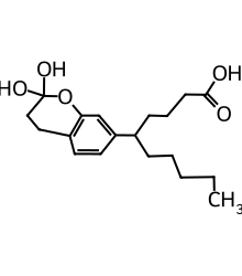 CCCCCC(CCCC(=O)O)c1ccc2c(c1)OC(O)(O)CC2